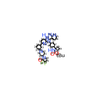 CC(C)(C)OC(=O)NC1(c2ccc(-n3c(-c4cccnc4N)nc4ccc(-c5cccc(N6CCC(N7CCC(F)(F)C7=O)CC6)c5)nc43)cc2)CCC1